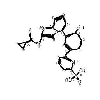 O=C(Nc1cn2c(-c3cc(-c4cccc(P(=O)(O)O)n4)ccc3O)cccc2n1)C1CC1